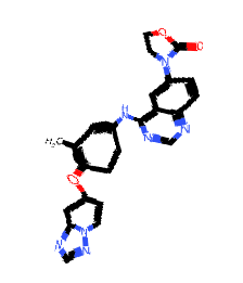 Cc1cc(Nc2ncnc3ccc(N4CCOC4=O)cc23)ccc1Oc1ccn2ncnc2c1